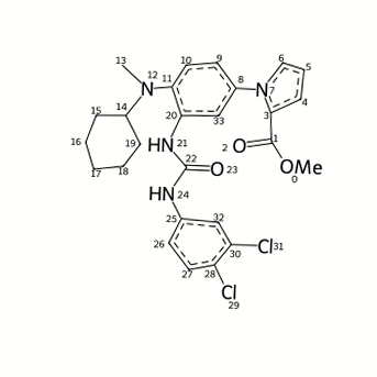 COC(=O)c1cccn1-c1ccc(N(C)C2CCCCC2)c(NC(=O)Nc2ccc(Cl)c(Cl)c2)c1